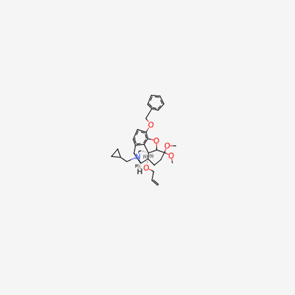 C=CCO[C@@]12CCC(OC)(OC)C3Oc4c(OCc5ccccc5)ccc5c4[C@@]31CCN(CC1CC1)[C@@H]2C5